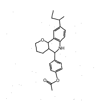 CCC(C)c1ccc2c(c1)C1OCCCC1C(c1ccc(OC(C)=O)cc1)N2